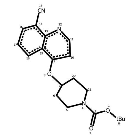 CC(C)(C)OC(=O)N1CCC(Oc2ccnc3c(C#N)cccc23)CC1